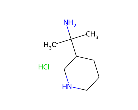 CC(C)(N)C1CCCNC1.Cl